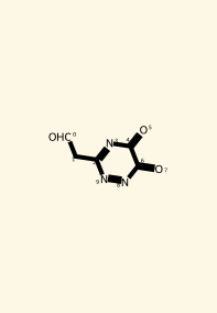 O=CCC1=NC(=O)C(=O)N=N1